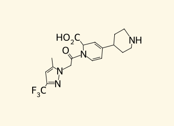 Cc1cc(C(F)(F)F)nn1CC(=O)N1C=CC(C2CCNCC2)=CC1C(=O)O